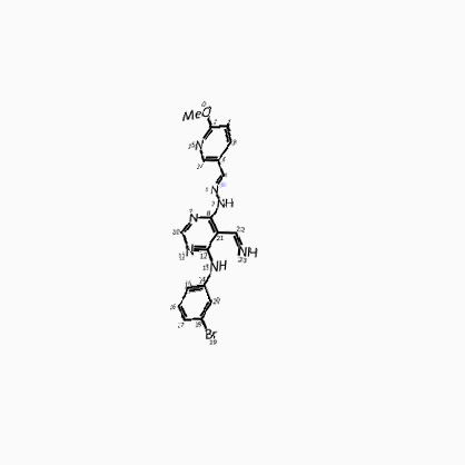 COc1ccc(/C=N/Nc2ncnc(Nc3cccc(Br)c3)c2C=N)cn1